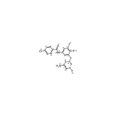 C[C@H](Cc1cc(NC(=O)c2ccc(Cl)cn2)cc(F)c1F)S/C(N)=N\CF